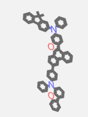 CC1(C)c2ccccc2-c2ccc(N(c3ccccc3)c3ccc4c(c3)oc3c5ccc(-c6ccc(N(c7ccccc7)c7cccc8c7oc7ccccc78)cc6)cc5c5ccccc5c43)cc21